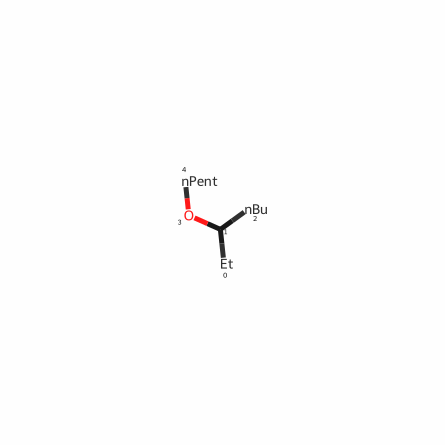 [CH2]CC(CCCC)OCCCCC